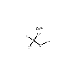 CCO[Si]([O-])([O-])[O-].[Co+3]